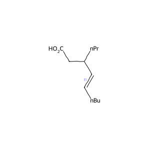 CCCC/C=C/C(CCC)CC(=O)O